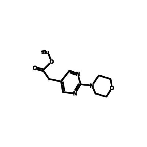 CC(C)(C)OC(=O)Cc1cnc(N2CCOCC2)nc1